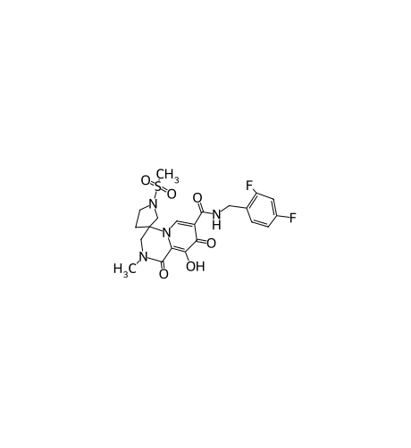 CN1CC2(CCN(S(C)(=O)=O)C2)n2cc(C(=O)NCc3ccc(F)cc3F)c(=O)c(O)c2C1=O